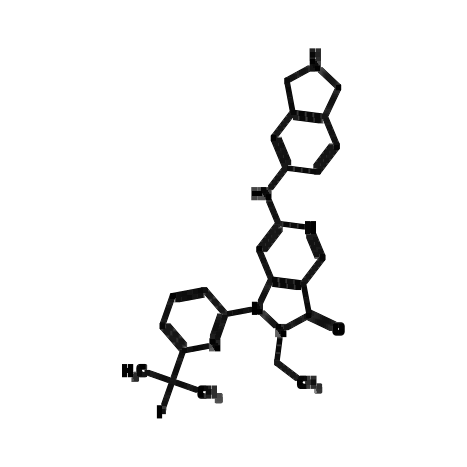 CCn1c(=O)c2cnc(Nc3ccc4c(c3)CNC4)cc2n1-c1cccc(C(C)(C)F)n1